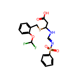 O=C(O)CC(NC=NS(=O)(=O)c1ccccc1)SCc1ccccc1OC(F)F